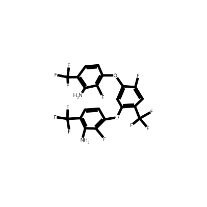 Nc1c(C(F)(F)F)ccc(Oc2cc(Oc3ccc(C(F)(F)F)c(N)c3F)c(C(F)(F)F)cc2F)c1F